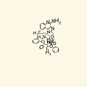 CCC[C@]([SiH3])(CCOP(=O)(N[C@@H](C)C(=O)Oc1ccccc1)Oc1ccccc1)n1c(COCC)nc2c(N)nc3ccccc3c21